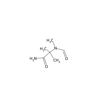 CN(C=O)C(C)(C)C(N)=O